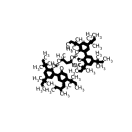 CCC(C)Cc1cc2c(cc1C(C)(C)CC)op(O[C@H](C)C[C@@H](C)Op1oc3c(C(C)(C)CC)cc(C(C)(C)CC)cc3c3cc(C(C)(C)CC)cc(C(C)(C)CC)c3o1)oc1c(C(C)(C)CC)cc(C(C)(C)CC)cc12